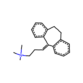 C[N+](C)(C)CCC=C1c2ccccc2CCc2ccccc21